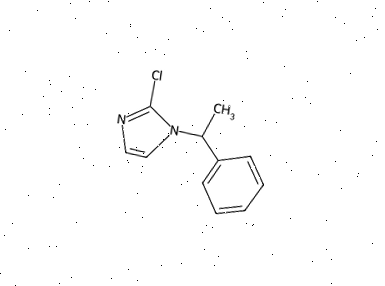 CC(c1ccccc1)n1ccnc1Cl